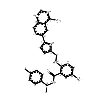 Cc1ccc([C@H](C)NC(=O)c2cc(C(F)(F)F)cnc2NCc2ccc(-c3cc4c(N)ncnc4cn3)s2)cc1